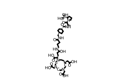 C[C@@H](NC(=O)[C@H]1CC[C@H](CNC(=O)CCCNC(O)CC[C@H](C(=O)O)N2CCN(CC(=O)O)CCN(CC(=O)O)CCN(CC(=O)O)CC2)CC1)C(=O)N1CCC[C@H]1B(O)O